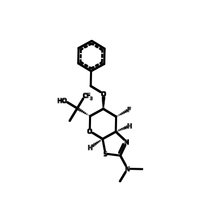 CN(C)C1=N[C@@H]2[C@@H](F)[C@H](OCc3ccccc3)[C@@H](C(C)(O)C(F)(F)F)O[C@@H]2S1